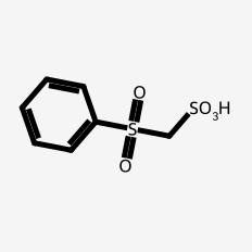 O=S(=O)(O)CS(=O)(=O)c1ccccc1